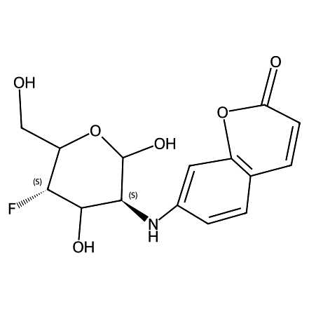 O=c1ccc2ccc(N[C@@H]3C(O)OC(CO)[C@@H](F)C3O)cc2o1